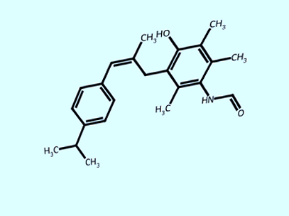 CC(=Cc1ccc(C(C)C)cc1)Cc1c(C)c(NC=O)c(C)c(C)c1O